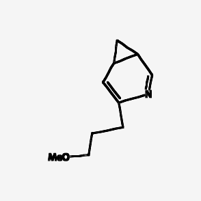 COCCCC1=CC2CC2C=N1